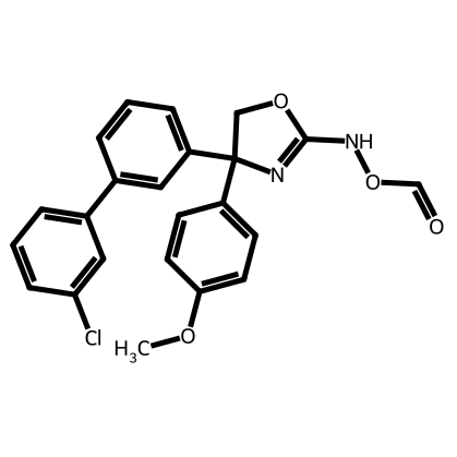 COc1ccc(C2(c3cccc(-c4cccc(Cl)c4)c3)COC(NOC=O)=N2)cc1